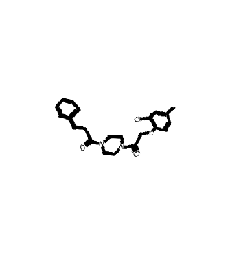 Cc1ccc(SCC(=O)N2CCN(C(=O)CCc3ccccc3)CC2)c(Cl)c1